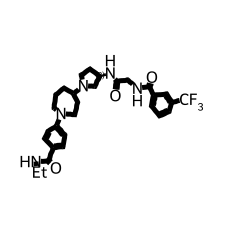 CCNC(=O)c1ccc(N2CCCC(N3CC[C@@H](NC(=O)CNC(=O)c4cccc(C(F)(F)F)c4)C3)CC2)cc1